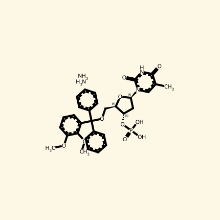 COc1cccc(C(OC[C@H]2O[C@@H](n3cc(C)c(=O)[nH]c3=O)C[C@@H]2OP(=O)(O)O)(c2ccccc2)c2ccccc2)c1OC.N.N